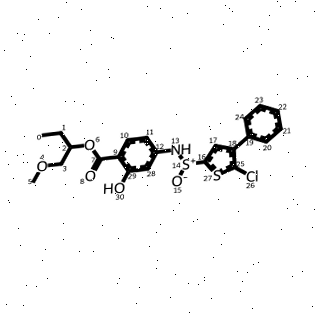 CCC(COC)OC(=O)c1ccc(N[S+]([O-])c2cc(-c3ccccc3)c(Cl)s2)cc1O